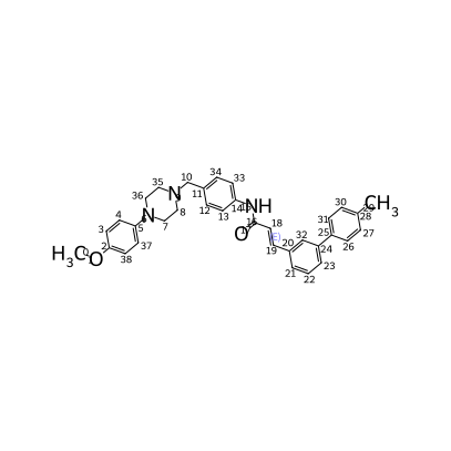 COc1ccc(N2CCN(Cc3ccc(NC(=O)/C=C/c4cccc(-c5ccc(C)cc5)c4)cc3)CC2)cc1